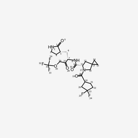 O=C1NCC[C@H]1C[C@H](NC(=O)[C@@H]1CC2(CC2)CN1C(=O)C1CCC(F)(F)C1)C(=O)COC(F)(F)F